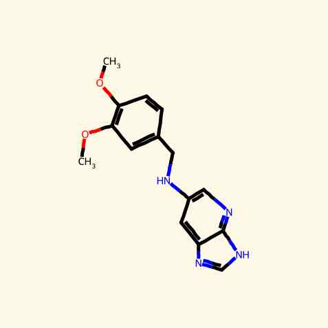 COc1ccc(CNc2cnc3[nH]cnc3c2)cc1OC